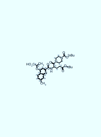 CCCCOC(=O)N1CCN(C(=O)C(CCC(=O)OC(C)(C)C)NC(=O)c2cc(O[C@H](C)C(=O)O)c3ccc(C)cc3n2)CC1